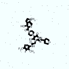 CCc1c(N2CCN(C(=O)c3ncc4c(ccn4C)c3O)CC2)c(=O)n2nc(C3=CCOCC3)nc2n1CC(=O)Nc1ccc(C(F)(F)F)c(F)c1C